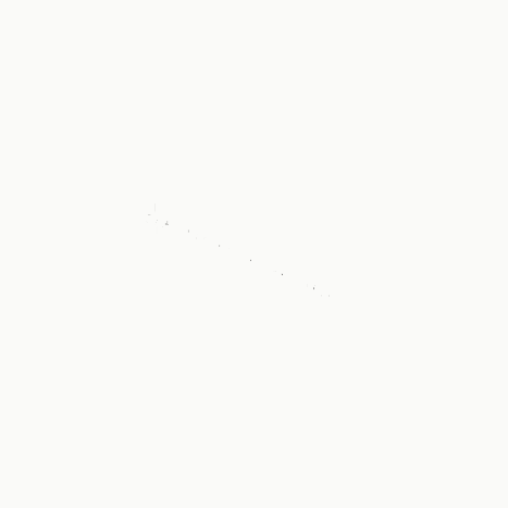 O=CCCOCCOCCOCCOCCOCCOCCOCCOCCOCCOCCC(=O)Oc1c(F)c(F)cc(F)c1F